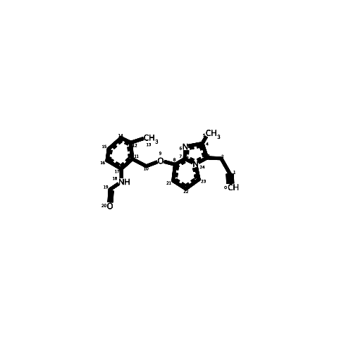 C#CCc1c(C)nc2c(OCc3c(C)cccc3NC=O)cccn12